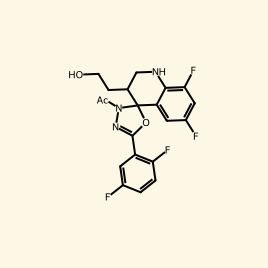 CC(=O)N1N=C(c2cc(F)ccc2F)OC12c1cc(F)cc(F)c1NCC2CCO